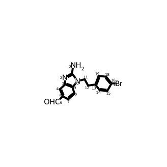 Nc1nc2cc(C=O)ccc2n1CCc1ccc(Br)cc1